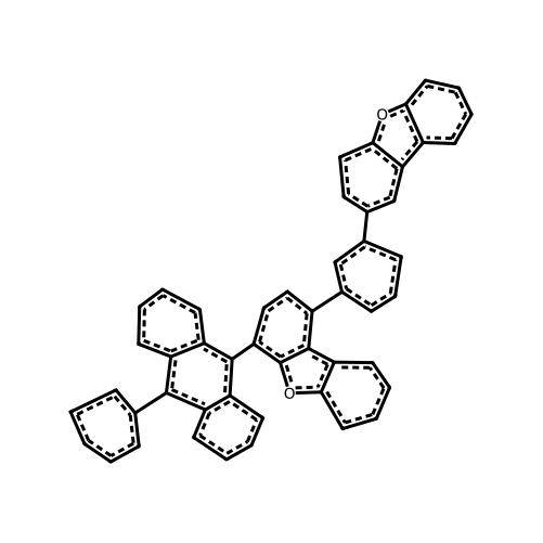 c1ccc(-c2c3ccccc3c(-c3ccc(-c4cccc(-c5ccc6oc7ccccc7c6c5)c4)c4c3oc3ccccc34)c3ccccc23)cc1